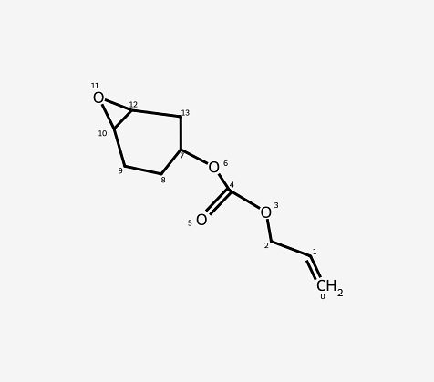 C=CCOC(=O)OC1CCC2OC2C1